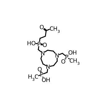 CC(=O)CCP(=O)(O)CN1CCN(CP(C)(=O)O)CCN(CP(C)(=O)O)CC1